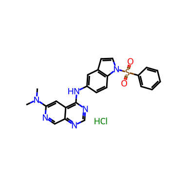 CN(C)c1cc2c(Nc3ccc4c(ccn4S(=O)(=O)c4ccccc4)c3)ncnc2cn1.Cl